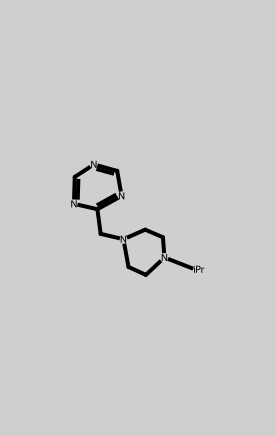 CC(C)N1CCN(Cc2ncncn2)CC1